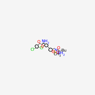 CCC(C)[C@H](N)C(=O)N(Cc1cccc(-c2ccc3c(N)c(C(=O)c4ccc(Cl)cc4Cl)oc3c2)c1)S(C)(=O)=O